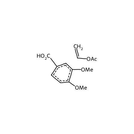 C=COC(C)=O.COc1ccc(C(=O)O)cc1OC